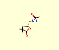 CC(=O)NC[C@H]1CC(C)(C)C(=O)O1